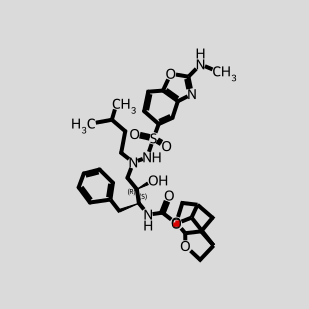 CNc1nc2cc(S(=O)(=O)NN(CCC(C)C)C[C@@H](O)[C@H](Cc3ccccc3)NC(=O)OC3C4COC5OCC3C5C4)ccc2o1